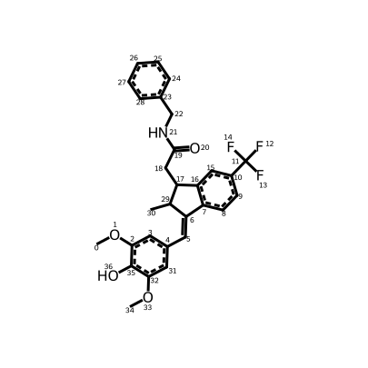 COc1cc(C=C2c3ccc(C(F)(F)F)cc3C(CC(=O)NCc3ccccc3)C2C)cc(OC)c1O